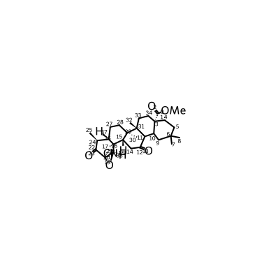 COC(=O)[C@]12CCC(C)(C)CC1C1C(=O)C[C@@H]3[C@@]4(C)[C@H]5O[C@@]5(C#N)C(=O)[C@@H](C)[C@@H]4CC[C@@]3(C)[C@]1(C)CC2